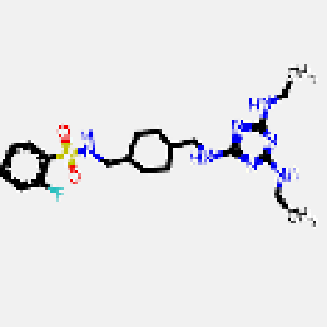 CCNc1nc(NCC)nc(NCC2CCC(CNS(=O)(=O)c3ccccc3F)CC2)n1